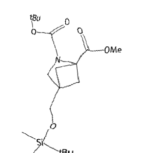 COC(=O)C12CC(CO[Si](C)(C)C(C)(C)C)(CN1C(=O)OC(C)(C)C)C2